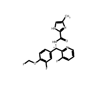 Cc1c[nH]c(C(=O)N[C@@H](c2ccc(OCF)c(F)c2)c2ncccc2F)n1